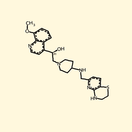 COc1cccc2c([C@@H](O)CN3CCC(NCc4ccc5c(n4)NCCS5)CC3)ccnc12